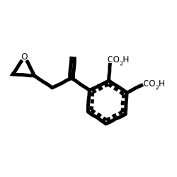 C=C(CC1CO1)c1cccc(C(=O)O)c1C(=O)O